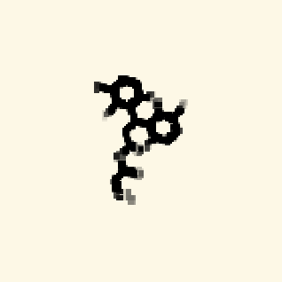 C=CC(=O)OC(=O)CC(c1c(F)ccc(F)c1F)c1c(F)ccc(F)c1F